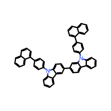 c1ccc2c(-c3ccc(-n4c5ccccc5c5cc(-c6ccc7c8ccccc8n(-c8ccc(-c9cccc%10ccccc9%10)cc8)c7c6)ccc54)cc3)cccc2c1